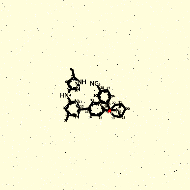 Cc1cc(Nc2cc(C)[nH]n2)nc(-c2ccc(N3CC4CC(C3)N4Cc3ccc(C#N)cc3)nc2)n1